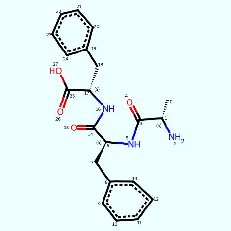 C[C@H](N)C(=O)N[C@@H](Cc1ccccc1)C(=O)N[C@@H](Cc1ccccc1)C(=O)O